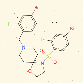 O=S(=O)(c1ccc(Br)cc1F)N1CCOC12CCN(Cc1ccc(Br)cc1F)CC2